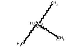 CCCCCCCCCCCCCCCC[N+](C)(CCCCCCCCCCCCCCCC)C(C)(C)CCCCCCCCCCCCCCC.[Cl-]